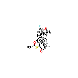 CC(=O)SC1=C2CC[C@H]3[C@@H]4C[C@@H](F)C(=O)[C@@]4(C)CC[C@@H]3[C@@]2(C)C2C[C@@H]2C1=O